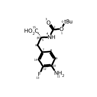 CC(C)(C)OC(=O)N[C@H](Cc1ccc(N)c(F)c1)C(=O)O